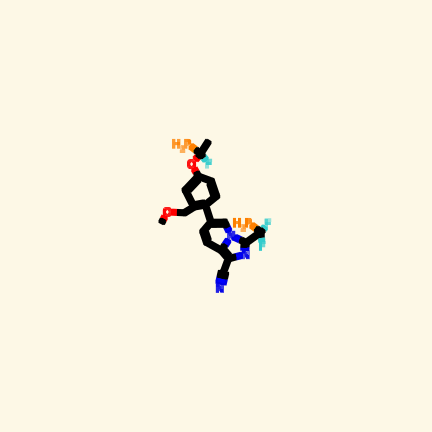 COCc1cc(OC(C)(F)P)ccc1-c1ccc2c(C#N)nc(C(F)(F)P)n2c1